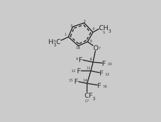 Cc1ccc(C)c(OC(F)(F)C(F)(F)C(F)(F)C(F)(F)F)c1